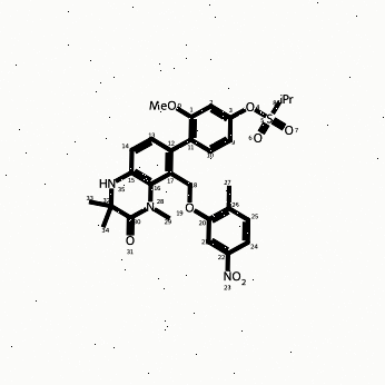 COc1cc(OS(=O)(=O)C(C)C)ccc1-c1ccc2c(c1COc1cc([N+](=O)[O-])ccc1C)N(C)C(=O)C(C)(C)N2